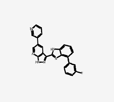 Fc1cccc(-c2cccc3[nH]c(-c4n[nH]c5ncc(-c6cccnc6)cc45)nc23)c1